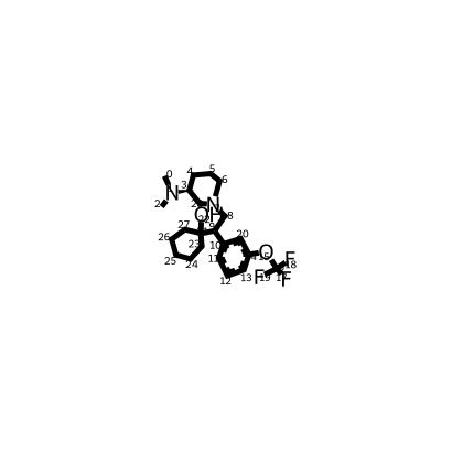 CN(C)[C@H]1CCCN(CC(c2cccc(OC(F)(F)F)c2)C2(O)CCCCC2)C1